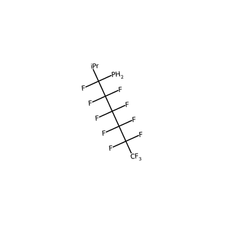 CC(C)C(F)(P)C(F)(F)C(F)(F)C(F)(F)C(F)(F)C(F)(F)F